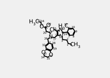 CCCCn1c(-c2ccccc2C)nc(Cl)c1CN(CCC(=O)OCC)Cc1ccc2c(c1)OCCO2